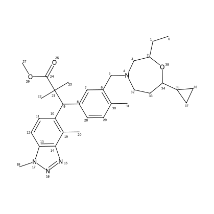 CCC1CN(Cc2cc(C(c3ccc4c(nnn4C)c3C)C(C)(C)C(=O)OC)ccc2C)CCC(C2CC2)O1